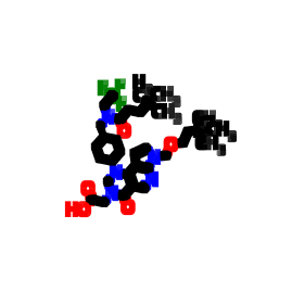 CC(C)(C)CCC(=O)N(CC(F)(F)F)C[C@H]1CC[C@H](N2CN(CC(=O)O)C(=O)c3cnc4c(ccn4COCC[Si](C)(C)C)c32)CC1